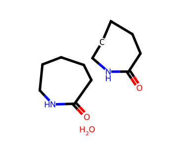 O.O=C1CCCCCN1.O=C1CCCCCN1